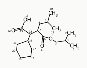 CC(C)COC(=O)C(CC(C)C)C(C(=O)O)C1CCCCC1